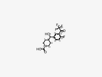 O=C(O)N1CCC(C(O)c2ccc(F)c(C(=O)C(F)(F)F)c2)CC1